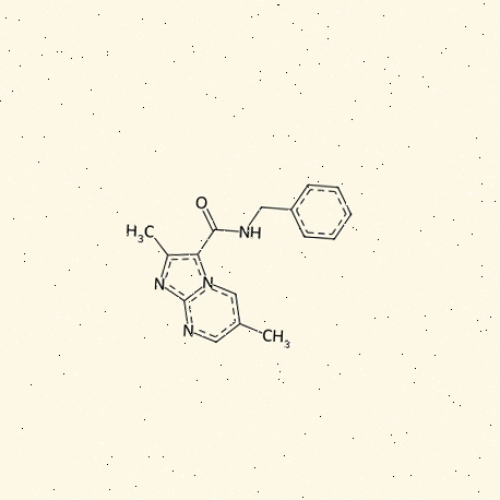 Cc1cnc2nc(C)c(C(=O)NCc3ccccc3)n2c1